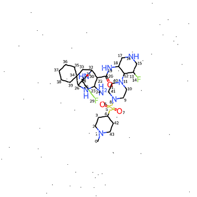 CN1CCC(S(=O)(=O)N2CCN(C3C(F)CNCC3NC(=O)C3C(N)NC4/C=C(/F)CNC3CC43CCCCC3)CC2)CC1